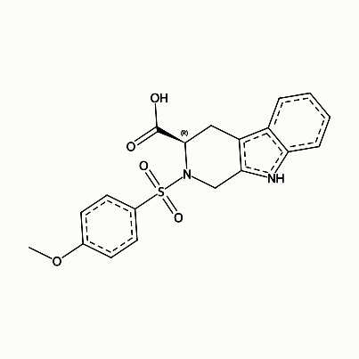 COc1ccc(S(=O)(=O)N2Cc3[nH]c4ccccc4c3C[C@@H]2C(=O)O)cc1